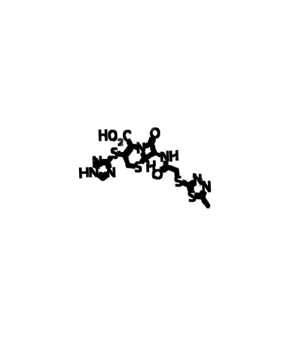 Cc1nnc(SCC(=O)N[C@@H]2C(=O)N3C(C(=O)O)=C(Sc4nc[nH]n4)CS[C@@H]23)s1